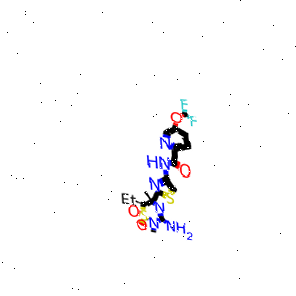 CC[C@@H]1[C@](C)(c2nc(NC(=O)c3ccc(OC(F)F)cn3)cs2)N=C(N)N(C)S1(=O)=O